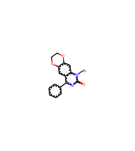 CC(C)n1c(=O)nc(-c2ccccc2)c2cc3c(cc21)OCCO3